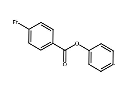 CCc1ccc(C(=O)Oc2cc[c]cc2)cc1